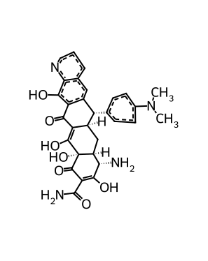 CN(C)c1ccc([C@H]2c3cc4cccnc4c(O)c3C(=O)C3=C(O)[C@]4(O)C(=O)C(C(N)=O)=C(O)[C@@H](N)[C@@H]4C[C@@H]32)cc1